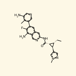 CC[C@H]1[C@@H](C(=O)Nc2cc3cc(-c4cncc(N)c4C)c(F)c(N)c3cn2)[C@@H]1c1cnn(C)c1